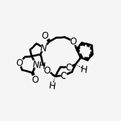 O=C1COCC2(CCN3C(=O)CCOc4ccccc4[C@H]4CC[C@H](CC4)OCC32)N1